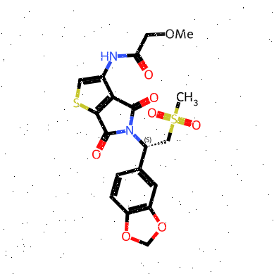 COCC(=O)Nc1csc2c1C(=O)N([C@H](CS(C)(=O)=O)c1ccc3c(c1)OCO3)C2=O